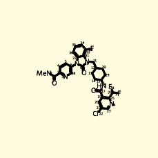 CNC(=O)c1ccc(-n2c(=O)n(CC3CCC(NC(=O)c4cc(Cl)cnc4C(F)F)CC3)c3c(F)cccc32)cn1